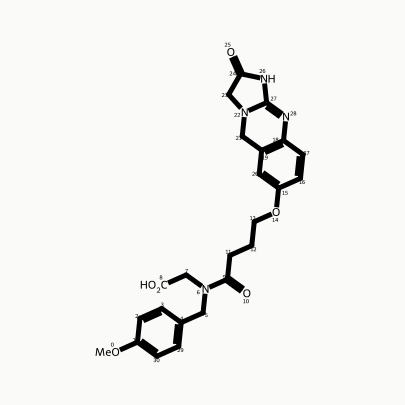 COc1ccc(CN(CC(=O)O)C(=O)CCCOc2ccc3c(c2)CN2CC(=O)NC2=N3)cc1